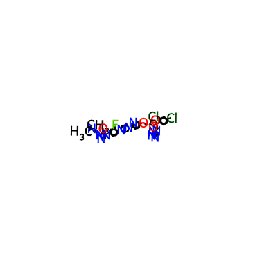 CN(C)CCn1ncn(-c2ccc(N3CCN(c4ccc(OC[C@@H]5CO[C@@](Cn6cnnn6)(c6ccc(Cl)cc6Cl)O5)cn4)CC3)c(F)c2)c1=O